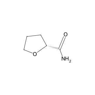 NC(=O)[C@H]1CCCO1